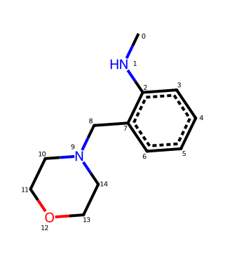 CNc1ccccc1CN1CCOCC1